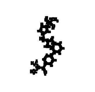 CN(C)C(=O)c1ccc(-c2cccn3nc(Nc4cnn(S(C)(=O)=O)c4)nc23)cc1